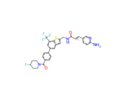 Nc1ccc(/C=C/C(=O)NCc2cc3cc(-c4ccc(C(=O)N5CCC(F)CC5)cc4)cc(C(F)(F)F)c3s2)cn1